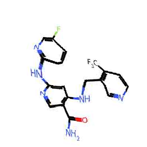 NC(=O)c1cnc(Nc2ccc(F)cn2)cc1NCc1cnccc1C(F)(F)F